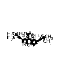 CC(C)(C)C#Cc1ccc2c(c1)[C@@]1(COCC(N)=N1)c1cc(C#CC(C)(C)C)cnc1O2